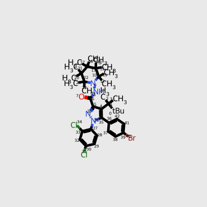 CC(C)(C)C(C)(C)c1c(C(=O)NN2C(C)(C)C(C)(C)C(C)(C)C(C)(C)C2(C)C)nn(-c2ccc(Cl)cc2Cl)c1-c1ccc(Br)cc1